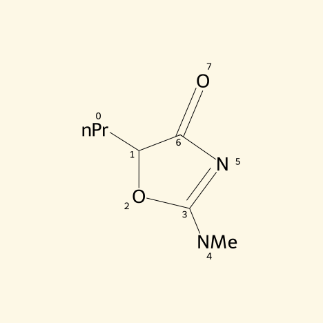 CCCC1OC(NC)=NC1=O